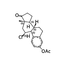 CC(=O)Oc1ccc2c(c1)CC[C@@H]1[C@@H]2[C@@H](Cl)C[C@]2(C)C(=O)CC[C@@H]12